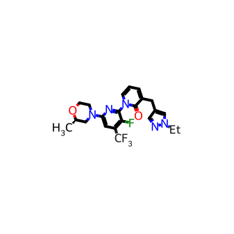 CCn1cc(Cc2cccn(-c3nc(N4CCO[C@H](C)C4)cc(C(F)(F)F)c3F)c2=O)cn1